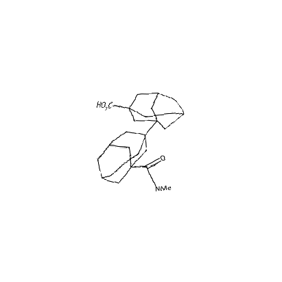 CNC(=O)C12CC3CC(C1)CC(C14CC5CC(CC(C(=O)O)(C5)C1)C4)(C3)C2